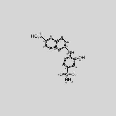 NS(=O)(=O)c1ccc(Nc2ccc3cc(S(=O)(=O)O)ccc3c2)c(O)c1